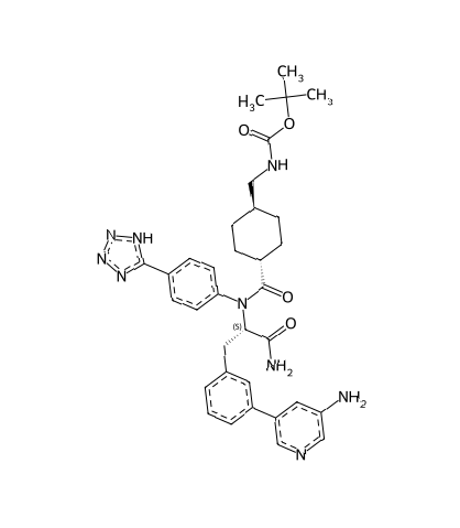 CC(C)(C)OC(=O)NC[C@H]1CC[C@H](C(=O)N(c2ccc(-c3nnn[nH]3)cc2)[C@@H](Cc2cccc(-c3cncc(N)c3)c2)C(N)=O)CC1